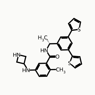 Cc1ccc(NC2CNC2)cc1C(=O)N[C@H](C)c1cc(-c2cccs2)cc(-c2cccs2)c1